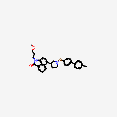 COCCCN1C(=O)c2cccc3c(C4CCCN(Sc5ccc(-c6ccc(C)cc6)cc5)C4)ccc1c23